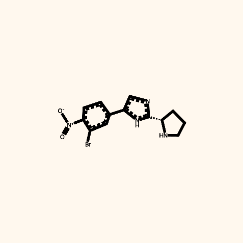 O=[N+]([O-])c1ccc(-c2cnc([C@@H]3CCCN3)[nH]2)cc1Br